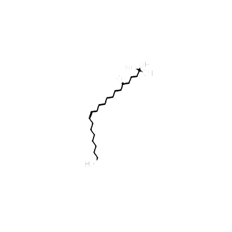 CCCCCCCC/C=C\CCCCCCCC(=O)CCCC(O)(O)O